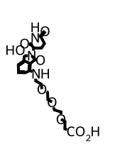 O=C(O)CCOCCOCCOCCNc1cccc2c1C(=O)N(C1CCC(=O)NC1=O)C2O